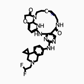 O=C1NC/C=C\CCCN2C(=O)COC3=CC=C(Nc4nc(Nc5ccc6c(c5)CN(CC(F)F)CC65CC5)ncc41)NC32